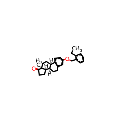 CCc1ccccc1COc1ccc2c(c1)CC[C@@H]1[C@@H]2CC[C@]2(C)C(=O)CC[C@@H]12